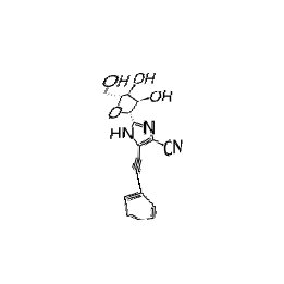 N#Cc1nc([C@@H]2O[C@H](CO)[C@@H](O)[C@H]2O)[nH]c1C#Cc1ccccc1